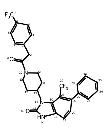 O=C(Cc1ccc(C(F)(F)F)cc1)N1CCC(n2c(=O)[nH]c3ccc(-c4ccccc4)c(C(F)(F)F)c32)CC1